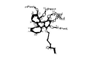 C=CC(=O)CCCOc1c(OCCCCC)c(OCCCCC)c(OCCCCC)c2c3c(OCCCCC)c(OCCCCC)ccc3c3ccccc3c12